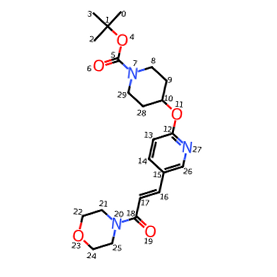 CC(C)(C)OC(=O)N1CCC(Oc2ccc(C=CC(=O)N3CCOCC3)cn2)CC1